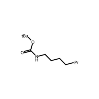 CC(C)CCCCNC(=O)OC(C)(C)C